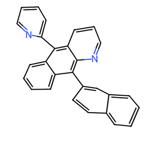 c1ccc(-c2c3ccccc3c(-c3ccc4ccccc4c3)c3ncccc23)nc1